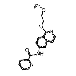 CC(C)OCCOc1nccc2cc(NC(=O)c3ccccn3)ccc12